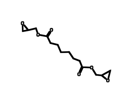 O=C(CCCCCCC(=O)OCC1CO1)OCC1CO1